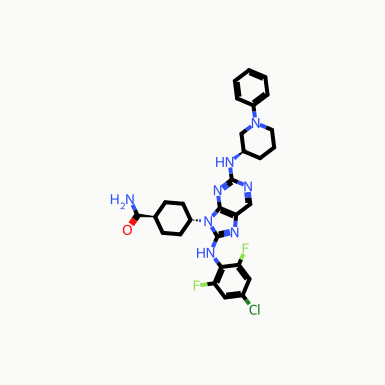 NC(=O)[C@H]1CC[C@H](n2c(Nc3c(F)cc(Cl)cc3F)nc3cnc(N[C@@H]4CCCN(c5ccccc5)C4)nc32)CC1